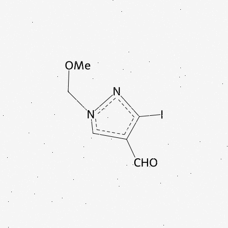 COCn1cc(C=O)c(I)n1